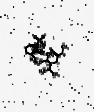 CC12CCC(C(S(=O)(=O)[O-])C1=O)C2(C)C.CCC(=O)C[S+](C(C)C)C(C)C